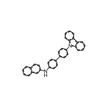 c1ccc2cc(Nc3ccc(-c4ccc(-n5c6ccccc6c6ccccc65)cc4)cc3)ccc2c1